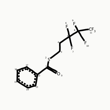 O=C(SCCC(F)(F)C(F)(F)C(F)(F)F)c1ccccc1